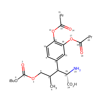 CC(C)COC(=O)OCC(C)C(c1ccc(OC(=O)C(C)C)c(OC(=O)C(C)C)c1)[C@H](N)C(=O)O